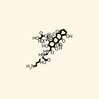 CN(C)[C@@H]1C(O)=C(C(=O)NCN[C@@H](CCCCN)C(=O)O)C(=O)[C@@]2(O)C(O)=C3C(=O)c4c(O)cccc4[C@@](C)(O)C3C[C@@H]12.O=C(O)C(=O)O